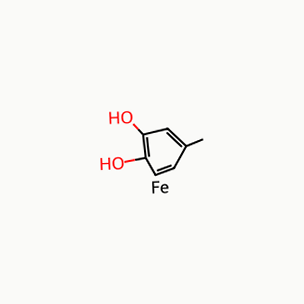 Cc1ccc(O)c(O)c1.[Fe]